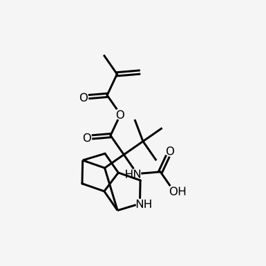 C=C(C)C(=O)OC(=O)C(NC(=O)O)(C1C2CC3CNC1C3C2)C(C)(C)C